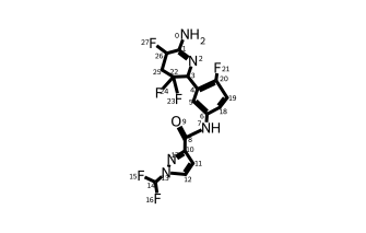 NC1=NC(c2cc(NC(=O)c3ccn(C(F)F)n3)ccc2F)C(F)(F)CC1F